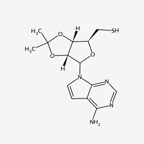 CC1(C)O[C@@H]2[C@@H](CS)OC(n3ccc4c(N)ncnc43)[C@@H]2O1